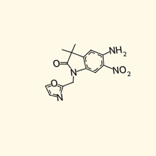 CC1(C)C(=O)N(Cc2ncco2)c2cc([N+](=O)[O-])c(N)cc21